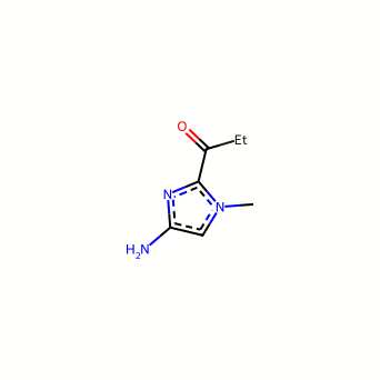 CCC(=O)c1nc(N)cn1C